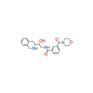 O=C(NCC(O)C1Cc2ccccc2CN1)c1cccc(C(=O)N2CCOCC2)c1